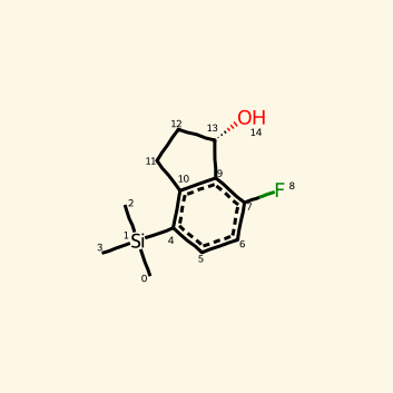 C[Si](C)(C)c1ccc(F)c2c1CC[C@@H]2O